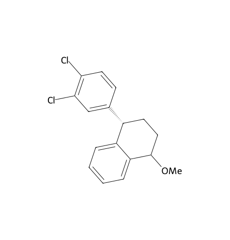 COC1CC[C@@H](c2ccc(Cl)c(Cl)c2)c2ccccc21